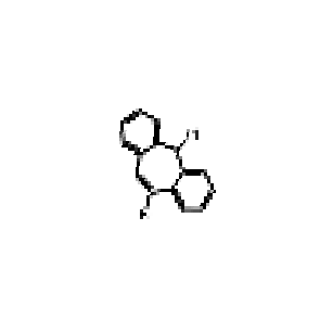 ClC1c2ccccc2C=C(Br)c2ccccc21